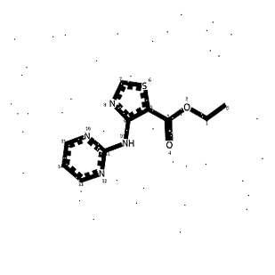 CCOC(=O)c1scnc1Nc1ncccn1